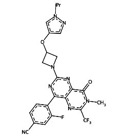 CC(C)n1cc(OC2CN(c3nc(-c4ccc(C#N)cc4F)c4nc(C(F)(F)F)n(C)c(=O)c4n3)C2)cn1